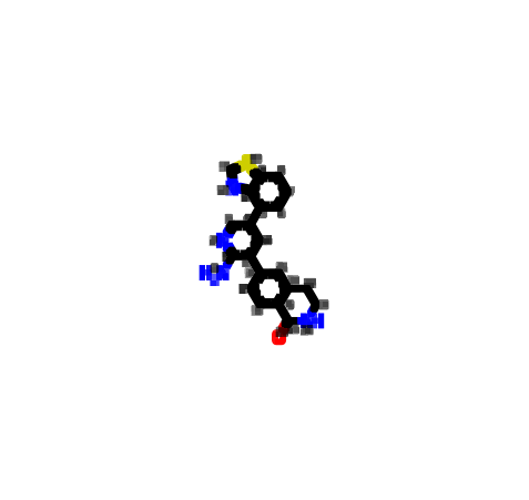 Nc1ncc(-c2cccc3scnc23)cc1-c1ccc2c(c1)CCNC2=O